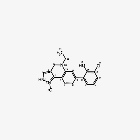 [O-][n+]1[nH]cc2c1-c1ccc(-c3cccc(Cl)c3O)cc1N(CC(F)(F)F)C2